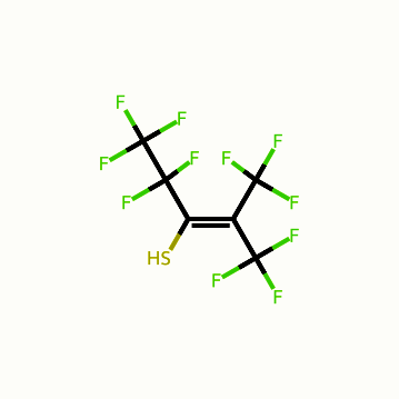 FC(F)(F)C(=C(S)C(F)(F)C(F)(F)F)C(F)(F)F